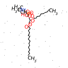 CCCCCCCCCCCCCCCC(=O)OCC(COP(=O)(O)OCC[N+](C)(C)C)OC(=O)CCCCCCCCC